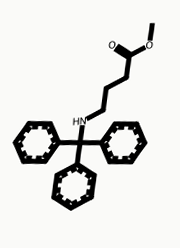 COC(=O)CCCNC(c1ccccc1)(c1ccccc1)c1ccccc1